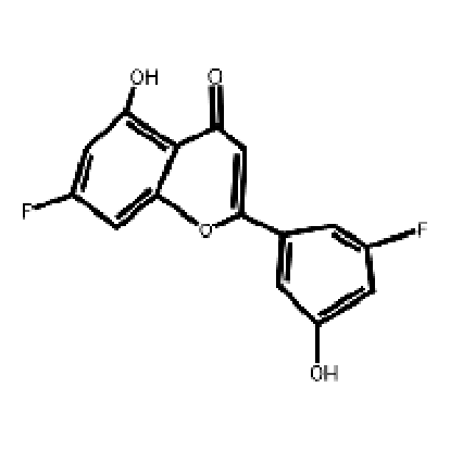 O=c1cc(-c2cc(O)cc(F)c2)oc2cc(F)cc(O)c12